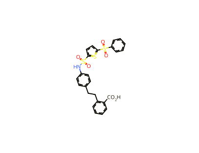 O=C(O)c1ccccc1CCc1ccc(NS(=O)(=O)c2ccc(S(=O)(=O)c3ccccc3)s2)cc1